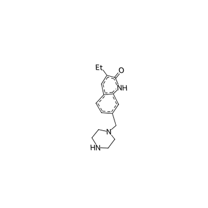 CCc1cc2ccc(CN3CCNCC3)cc2[nH]c1=O